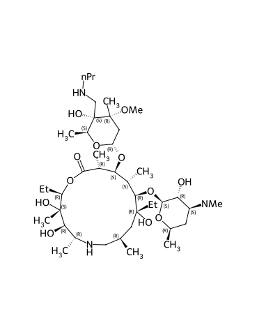 CCCNC[C@]1(O)[C@H](C)O[C@@H](O[C@H]2[C@H](C)[C@@H](O[C@@H]3O[C@H](C)C[C@H](NC)[C@H]3O)[C@@](O)(CC)C[C@@H](C)CN[C@H](C)[C@@H](O)[C@](C)(O)[C@@H](CC)OC(=O)[C@@H]2C)C[C@@]1(C)OC